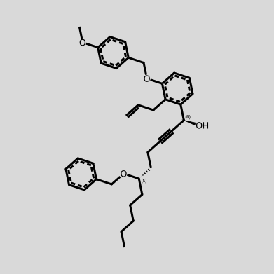 C=CCc1c(OCc2ccc(OC)cc2)cccc1[C@@H](O)C#CCC[C@H](CCCCC)OCc1ccccc1